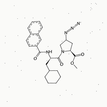 COC(=O)[C@@H]1CC(N=[N+]=[N-])CN1C(=O)[C@@H](CC1CCCCC1)NC(=O)c1ccc2ccccc2c1